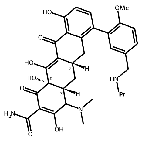 COc1ccc(CNC(C)C)cc1-c1ccc(O)c2c1C[C@@H]1C[C@@H]3C(N(C)C)C(O)=C(C(N)=O)C(=O)[C@@]3(O)C(O)=C1C2=O